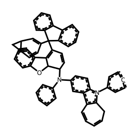 c1ccc2c(c#1)C1=C(C3(C4=CC5CC5C=C4)c4ccccc4-c4ccccc43)C=CC(N(c3ccccc3)c3ccc4c(c3)c3c(n4-c4ccccc4)CC=CC=C3)C1O2